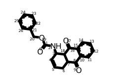 O=C(NC1C=CCC2C(=O)c3ccccc3C(=O)C12)OCc1ccccc1